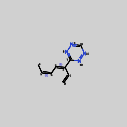 C=C/C(=C\C=C/C)c1nncnn1